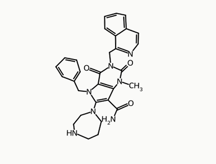 Cn1c(=O)n(Cc2nccc3ccccc23)c(=O)c2c1c(C(N)=O)c(N1CCCNCC1)n2Cc1ccccc1